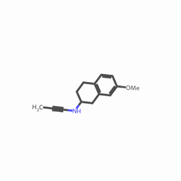 CC#CNC1CCc2ccc(OC)cc2C1